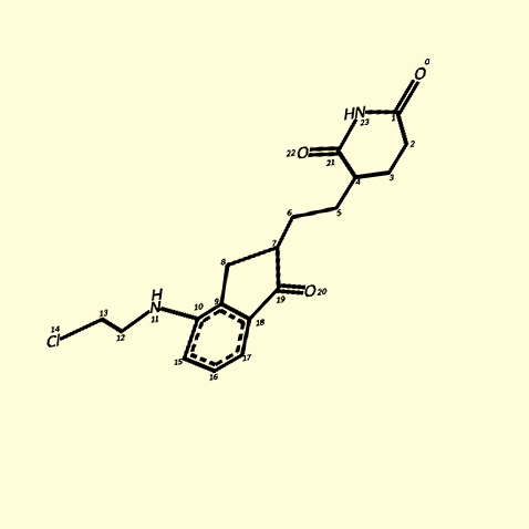 O=C1CCC(CCC2Cc3c(NCCCl)cccc3C2=O)C(=O)N1